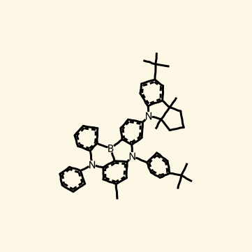 Cc1cc2c3c(c1)N(c1ccc(C(C)(C)C)cc1)c1cc(N4c5ccc(C(C)(C)C)cc5C5(C)CCCC45C)ccc1B3c1ccccc1N2c1ccccc1